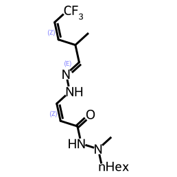 CCCCCCN(C)NC(=O)/C=C\N/N=C/C(C)/C=C\C(F)(F)F